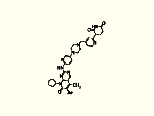 CC(=O)c1c(C)c2cnc(Nc3ccc(N4CCN(Cc5ccnc(C6CCC(=O)NC6=O)c5)CC4)cn3)nc2n(C2CCCC2)c1=O